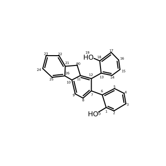 Oc1ccccc1-c1ccc2c(c1-c1ccccc1O)[C]c1ccccc1-2